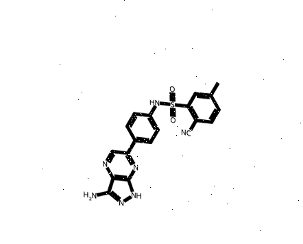 Cc1ccc(C#N)c(S(=O)(=O)Nc2ccc(-c3cnc4c(N)n[nH]c4n3)cc2)c1